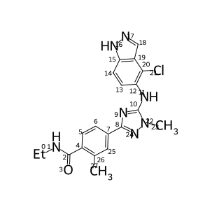 CCNC(=O)c1ccc(-c2nc(Nc3ccc4[nH]ncc4c3Cl)n(C)n2)cc1C